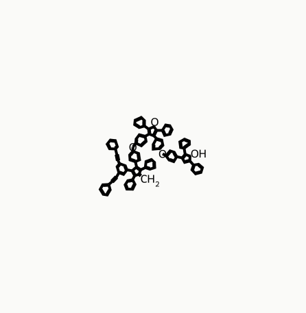 C=C1C(c2ccccc2)=C(c2ccc(Oc3ccc(C4=C(c5ccccc5)C(=O)C(c5ccccc5)=C4c4ccc(Oc5ccc(C6=C(c7ccccc7)C(O)C(c7ccccc7)=C6)cc5)cc4)cc3)cc2)C(c2cc(C#Cc3ccccc3)cc(C#Cc3ccccc3)c2)=C1c1ccccc1